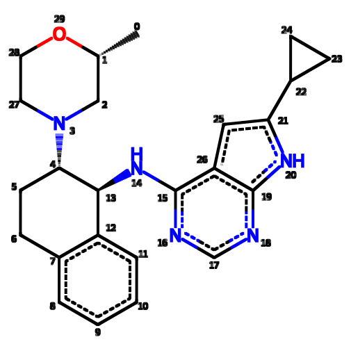 C[C@@H]1CN([C@H]2CCc3ccccc3[C@@H]2Nc2ncnc3[nH]c(C4CC4)cc23)CCO1